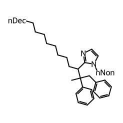 CCCCCCCCCCCCCCCCCCC(c1nccn1CCCCCCCCC)C(C)(Cc1ccccc1)c1ccccc1